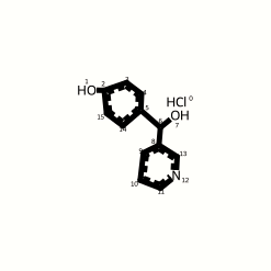 Cl.Oc1ccc(C(O)c2cccnc2)cc1